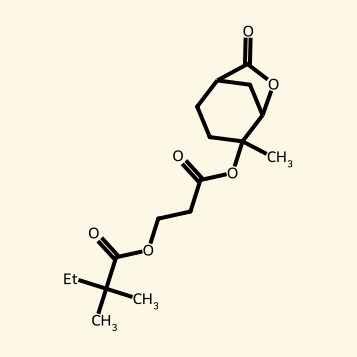 CCC(C)(C)C(=O)OCCC(=O)OC1(C)CCC2CC1OC2=O